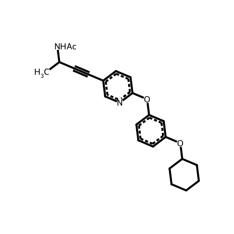 CC(=O)NC(C)C#Cc1ccc(Oc2cccc(OC3CCCCC3)c2)nc1